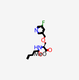 C=CCCC(=O)N[C@@H](COCc1cncc(F)c1)C(=O)OC